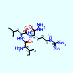 CC(C)C[C@H](NC(=O)[C@H](N)C(C)C)C(=O)N[C@@H](CCCNC(=N)N)C(=O)NN